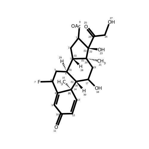 CC(=O)OC1C[C@H]2[C@@H]3CC(F)C4=CC(=O)C=C[C@]4(C)[C@H]3C(O)C[C@]2(C)[C@@]1(O)C(=O)CO